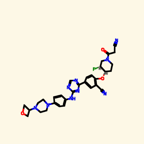 N#CCC(=O)N1CC[C@H](Oc2ccc(-c3ncnc(Nc4ccc(N5CCN(C6COC6)CC5)cc4)n3)cc2C#N)[C@H](F)C1